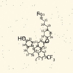 Cc1cc(C(F)(F)F)ccc1C1=C(c2ccc(OC3CCC(CCCCCF)CC3)cc2)c2ccc(O)cc2CCC1